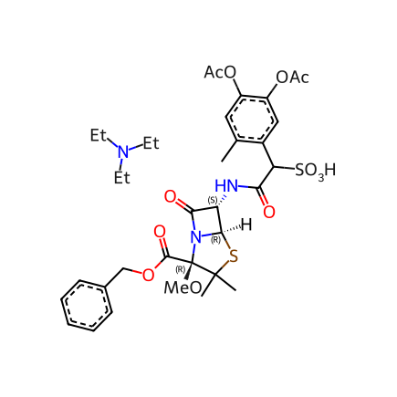 CCN(CC)CC.CO[C@@]1(C(=O)OCc2ccccc2)N2C(=O)[C@H](NC(=O)C(c3cc(OC(C)=O)c(OC(C)=O)cc3C)S(=O)(=O)O)[C@H]2SC1(C)C